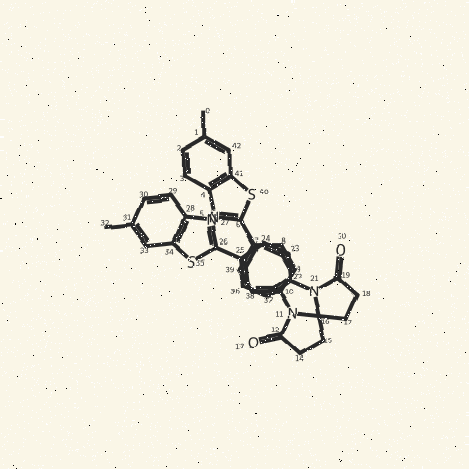 Cc1ccc2nc(-c3ccc(N4C(=O)CCC45CCC(=O)N5c4ccc(-c5nc6ccc(C)cc6s5)cc4)cc3)sc2c1